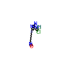 N#Cc1cnc2cc(/C=C/CCCCCCCCCN3CCOCC3)ccc2c1Nc1ccc(Cl)cc1Cl